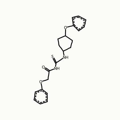 O=C(COc1ccccc1)NC(=S)NC1CCC(Oc2ccccc2)CC1